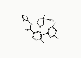 Cc1ncc(C(=O)NC23CC(C2)C3)c(N2CCC(C)(N)C2)c1-c1cc(F)cc(F)c1